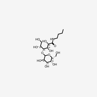 CCCCNC(=O)[C@H](O)[C@@H](O)[C@H](OC1O[C@H](CO)[C@H](O)[C@H](O)[C@H]1O)[C@H](O)CO